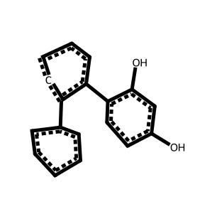 Oc1ccc(-c2ccccc2-c2ccccc2)c(O)c1